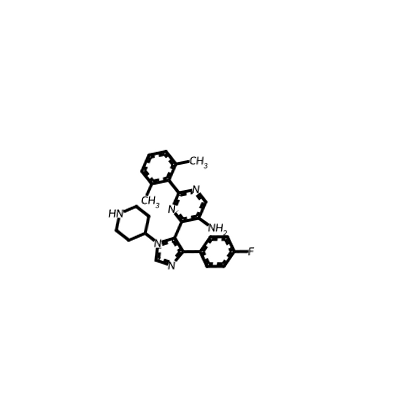 Cc1cccc(C)c1-c1ncc(N)c(-c2c(-c3ccc(F)cc3)ncn2C2CCNCC2)n1